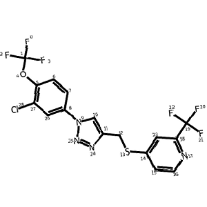 FC(F)(F)Oc1ccc(-n2cc(CSc3ccnc(C(F)(F)F)c3)nn2)cc1Cl